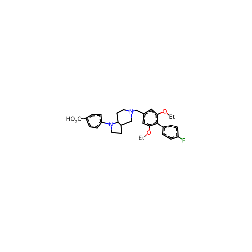 CCOc1cc(CN2CCC3C(CCN3c3ccc(C(=O)O)cc3)C2)cc(OCC)c1-c1ccc(F)cc1